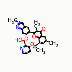 Cc1cc([C@@H](C)Oc2cccnc2C(=O)O)c2oc(-c3ccc4nn(C)cc4c3)c(C)c(=O)c2c1